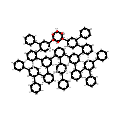 c1ccc(-c2cc(-c3ccccc3)c(-c3ccccc3-c3cc(-c4ccccc4-c4cnc(-c5ccccc5)cc4-c4ccccc4)cc(-c4cccc(-c5cc(-c6ccccc6-c6cnc(-c7ccccc7)cc6-c6ccccc6)cc(-c6ccccc6-c6cnc(-c7ccccc7)cc6-c6ccccc6)c5)c4-c4cnc(-c5ccccc5)nc4)c3)cn2)cc1